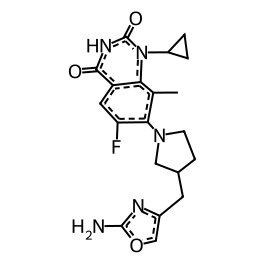 Cc1c(N2CCC(Cc3coc(N)n3)C2)c(F)cc2c(=O)[nH]c(=O)n(C3CC3)c12